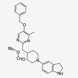 CC(C)(C)OC=O.Cc1nc(CC2CCN(c3ccc4c(c3)CCN4)CC2)ncc1OCc1ccccc1